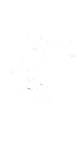 CSc1nc(SCC(N)=O)c2sc(C3=C(C(=O)O)N4C(=O)[C@H]([C@@H](C)O)[C@H]4[C@H]3C)cn12